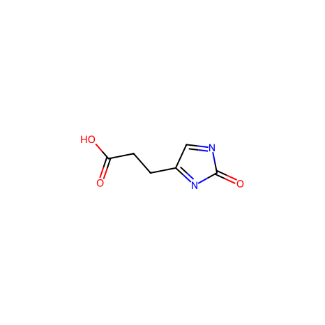 O=C(O)CCC1=NC(=O)N=C1